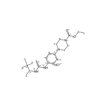 CCOC(=O)N1CCN(c2ccc(NC(=S)NC(C)C(C)(C)C)cn2)CC1.Cl